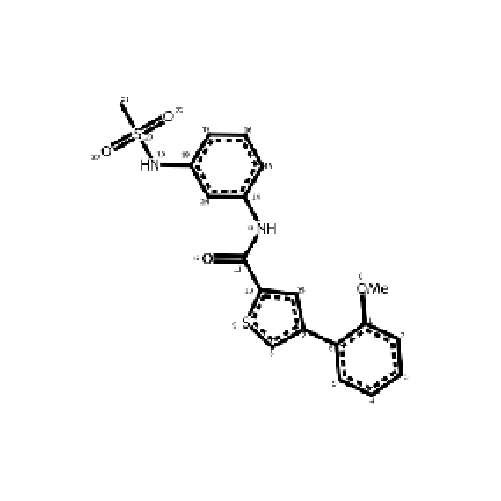 COc1ccccc1-c1csc(C(=O)Nc2cccc(NS(C)(=O)=O)c2)c1